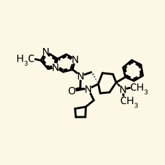 Cc1cn2cc(N3C[C@]4(CC[C@](c5ccccc5)(N(C)C)CC4)N(CC4CCC4)C3=O)ncc2n1